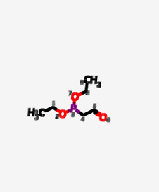 CCOP(CC=O)OCC